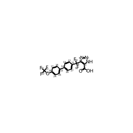 O=C(O)c1[nH]nnc1C(F)(F)c1ccc(-c2ccc(OC(F)(F)F)cc2)cc1